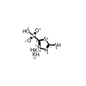 O=S(=O)(O)c1nnc(S)s1.[KH].[KH]